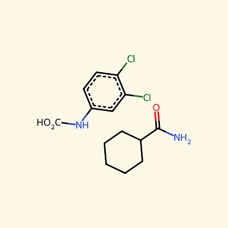 NC(=O)C1CCCCC1.O=C(O)Nc1ccc(Cl)c(Cl)c1